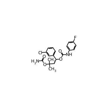 CC(C)(CC(OC(=O)Nc1ccc(F)cc1)c1cccc(Cl)c1)OC(N)=O